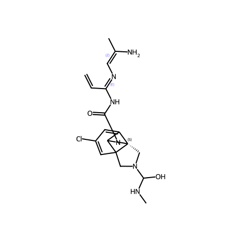 C=C/C(=N\C=C(\C)N)NC(=O)N1C[C@]23CN(C(O)NC)CC24C=C(Cl)C=C3C14